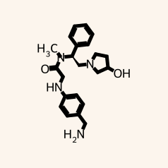 CN(C(=O)CNc1ccc(CN)cc1)[C@H](CN1CCC(O)C1)c1ccccc1